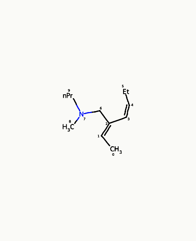 C/C=C(\C=C/CC)CN(C)CCC